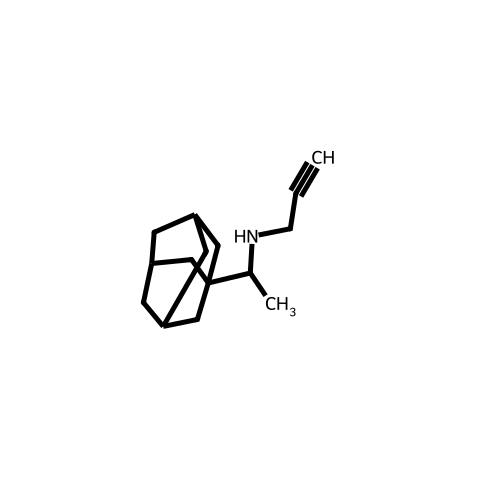 C#CCNC(C)C12CC3CC(CC(C3)C1)C2